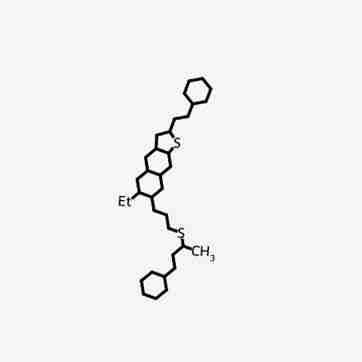 CCC1CC2CC3CC(CCC4CCCCC4)SC3CC2CC1CCCSC(C)CCC1CCCCC1